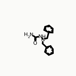 NC(=O)NN(Cc1ccccc1)Cc1ccccc1